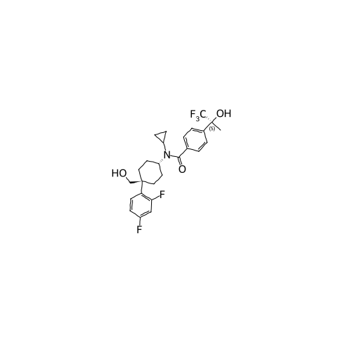 C[C@](O)(c1ccc(C(=O)N(C2CC2)[C@H]2CC[C@@](CO)(c3ccc(F)cc3F)CC2)cc1)C(F)(F)F